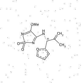 C=C(C)[C@@H](NC1=NS(=O)(=O)N=C1OC)c1ccco1